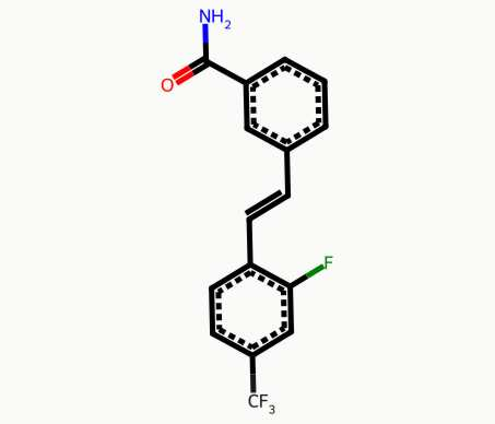 NC(=O)c1cccc(C=Cc2ccc(C(F)(F)F)cc2F)c1